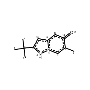 Cc1cn2[nH]c(C(C)(C)C)cc2cc1=O